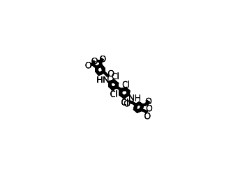 O=C(Nc1cc(Cl)c(-c2cc(Cl)c(NC(=O)c3ccc4c(c3)C(=O)OC4=O)cc2Cl)cc1Cl)c1ccc2c(c1)C(=O)OC2=O